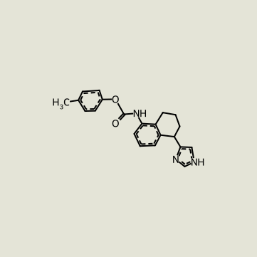 Cc1ccc(OC(=O)Nc2cccc3c2CCCC3c2c[nH]cn2)cc1